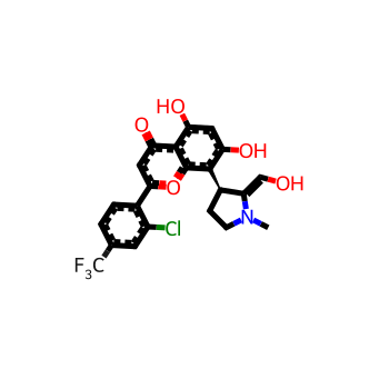 CN1CC[C@@H](c2c(O)cc(O)c3c(=O)cc(-c4ccc(C(F)(F)F)cc4Cl)oc23)/C1=C/O